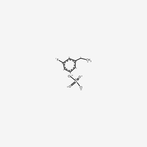 CCc1cccc(F)c1.O=S(=O)(Cl)Cl